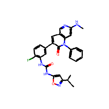 CNc1cc2c(cn1)cc(-c1ccc(F)c(NC(=O)Nc3cc(C(C)C)no3)c1)c(=O)n2-c1ccccc1